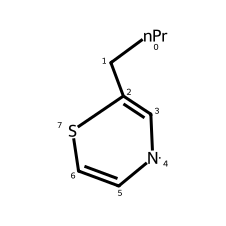 CCCCC1=C[N]C=CS1